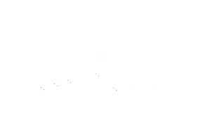 [N-]=[N+]=NCc1cn2cc(C3CC3)cc(C3(O)COC3)c2n1